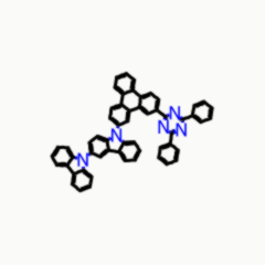 c1ccc(-c2nc(-c3ccccc3)nc(-c3ccc4c5ccccc5c5ccc(-n6c7ccccc7c7cc(-n8c9ccccc9c9ccccc98)ccc76)cc5c4c3)n2)cc1